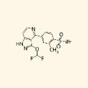 Cc1cc(-c2nccc3[nH]nc(OC(F)F)c23)ccc1S(=O)(=O)C(C)C